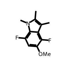 COc1cc(F)c2c(c(C)c(C)n2C)c1F